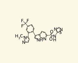 Cn1nccc1-c1cc(C(F)(F)F)ccc1-c1c[nH]c2nc(S(=O)(=O)Nc3ncns3)ccc12